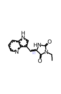 CCN1C(=O)N/C(=C\c2c[nH]c3cccnc23)C1=O